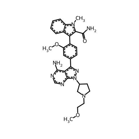 COCCN1CCC(n2nc(-c3ccc(-c4c(C(N)=O)n(C)c5ccccc45)c(OC)c3)c3c(N)ncnc32)C1